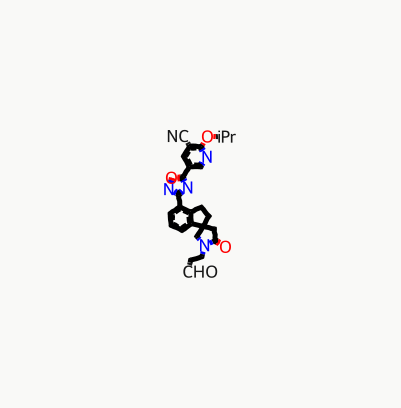 CC(C)Oc1ncc(-c2nc(-c3cccc4c3CCC43CC(=O)N(CCC=O)C3)no2)cc1C#N